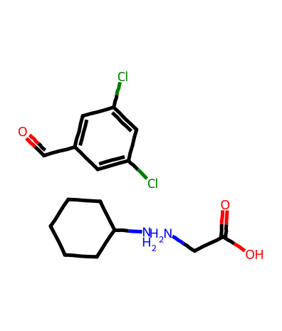 NC1CCCCC1.NCC(=O)O.O=Cc1cc(Cl)cc(Cl)c1